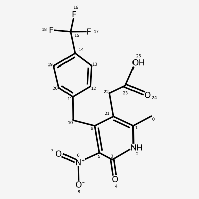 Cc1[nH]c(=O)c([N+](=O)[O-])c(Cc2ccc(C(F)(F)F)cc2)c1CC(=O)O